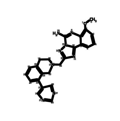 COc1cccc2c1nc(N)n1nc(CN3CCc4cccc(-c5cncnc5)c4C3)nc21